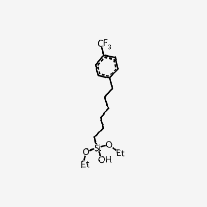 CCO[Si](O)(CCCCCCc1ccc(C(F)(F)F)cc1)OCC